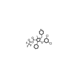 Cc1c(C(=O)OC(=O)C(F)(F)F)c(-c2ccccc2)c(Sc2cc(Cl)cc(Cl)c2)n1Cc1ccncc1